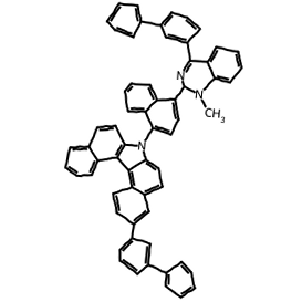 CN1c2ccccc2C(c2cccc(-c3ccccc3)c2)=NC1c1ccc(-n2c3ccc4ccccc4c3c3c4ccc(-c5cccc(-c6ccccc6)c5)cc4ccc32)c2ccccc12